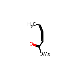 CC=C=CC(=O)OC